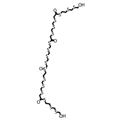 O=C(CSCSCSCC[S+]([O-])CSCSCSCSC(=O)CSCSCSCC(=O)SCCSCSCO)SCCSCSCO